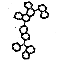 c1ccc(N(c2ccc3cc(-c4cc5cc(-c6cccc7ccccc67)c6ccccc6c5c5ccccc45)ccc3c2)c2cccc3ccccc23)cc1